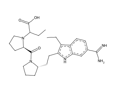 CCc1c(CC[C@@H]2CCCN2C(=O)[C@H]2CCCN2C(CC)C(=O)O)[nH]c2cc(C(=N)N)ccc12